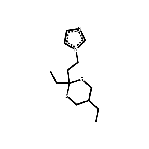 CCC1CSC(CC)(CCn2ccnc2)SC1